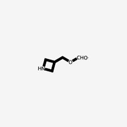 O=[C]OCC1CNC1